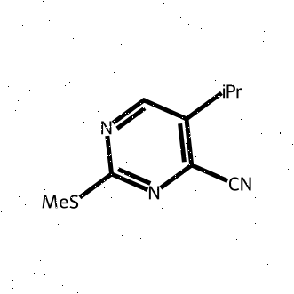 CSc1ncc(C(C)C)c(C#N)n1